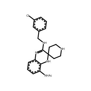 CC(=O)Nc1cccc2c1NC1(CCNCC1)C(NCc1cccc(Cl)c1)=N2